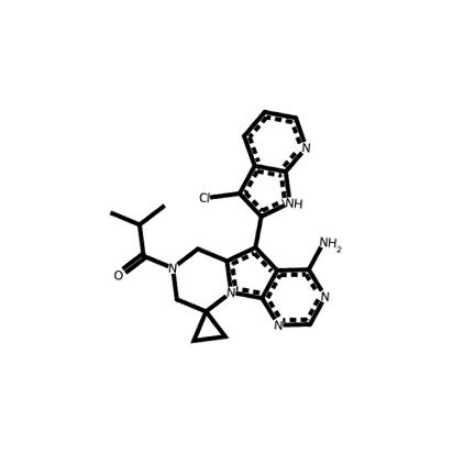 CC(C)C(=O)N1Cc2c(-c3[nH]c4ncccc4c3Cl)c3c(N)ncnc3n2C2(CC2)C1